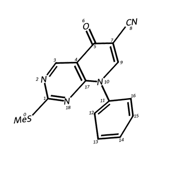 CSc1ncc2c(=O)c(C#N)cn(-c3ccccc3)c2n1